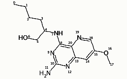 CCCCC(CO)Nc1nc(N)nc2cc(OC)cnc12